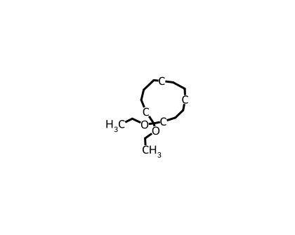 CCOC1(OCC)CCCCCCCCCCC1